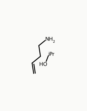 C=CCCN.CC(C)O